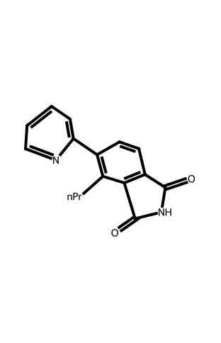 CCCc1c(-c2ccccn2)ccc2c1C(=O)NC2=O